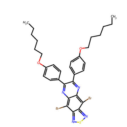 CCCCCCOc1ccc(-c2nc3c(Br)c4nsnc4c(Br)c3nc2-c2ccc(OCCCCCC)cc2)cc1